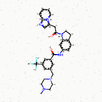 CN1CCN(Cc2cc(C(=O)Nc3ccc4c(c3)N(C(=O)Cc3cnc5ccccn35)CC4)cc(C(F)(F)F)c2)CC1